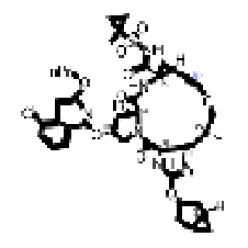 CCCOc1cc2c(Cl)cccc2c(O[C@@H]2C[C@H]3C(=O)N[C@]4(C(=O)NS(=O)(=O)C5(C)CC5)C[C@H]4/C=C\CC[C@H](C)C[C@@H](C)[C@H](NC(=O)OC4CC5C[C@H]5C4)C(=O)N3C2)n1